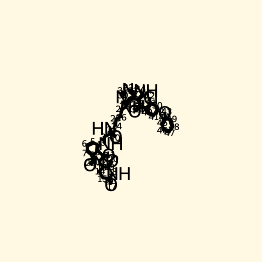 O=C(CNc1cccc2c1C(=O)N(C1CCC(=O)NC1=O)C2=O)NCCCCNc1ncnc2[nH]cc(C(=O)c3ccc(Oc4ccccc4)cc3Cl)c12